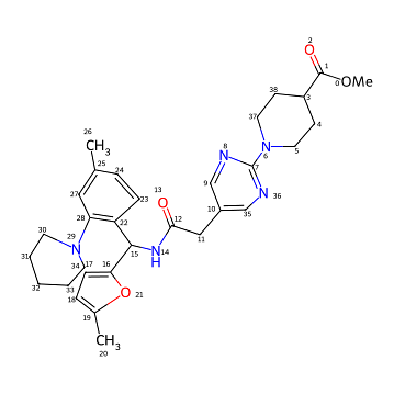 COC(=O)C1CCN(c2ncc(CC(=O)NC(c3ccc(C)o3)c3ccc(C)cc3N3CCCCC3)cn2)CC1